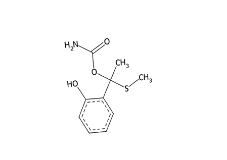 CSC(C)(OC(N)=O)c1ccccc1O